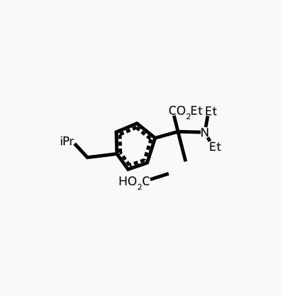 CC(=O)O.CCOC(=O)C(C)(c1ccc(CC(C)C)cc1)N(CC)CC